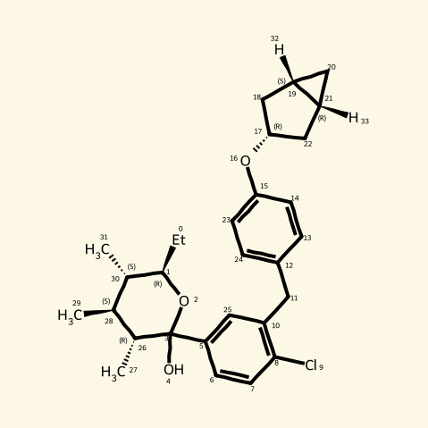 CC[C@H]1OC(O)(c2ccc(Cl)c(Cc3ccc(O[C@@H]4C[C@@H]5C[C@@H]5C4)cc3)c2)[C@H](C)[C@@H](C)[C@@H]1C